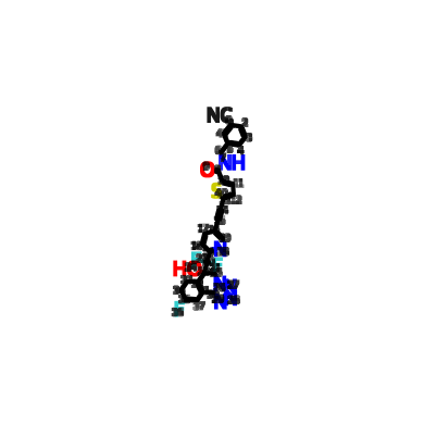 N#Cc1cccc(CNC(=O)c2ccc(C#Cc3ccc(C(F)(F)C4(O)Cn5nnnc5C5=C4CCC(F)=C5)nc3)s2)c1